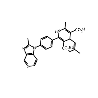 CCOC(=O)C1=C(c2ccc(-n3c(C)nc4cnccc43)cc2)NC(C)=C(C(=O)O)C1C=C(C)C